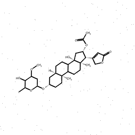 COC1CC(O[C@H]2CC[C@]3(C)C4CC[C@]5(C)[C@@H](C6=CC(=O)OC6)[C@@H](OC(C)=O)C[C@]5(O)C4CC[C@@H]3C2)OC(I)C1O